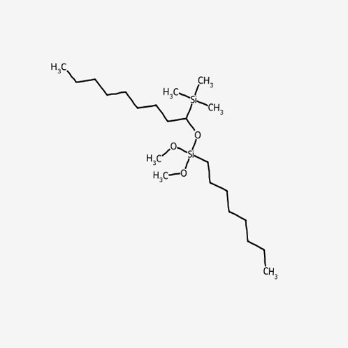 CCCCCCCCC(O[Si](CCCCCCCC)(OC)OC)[Si](C)(C)C